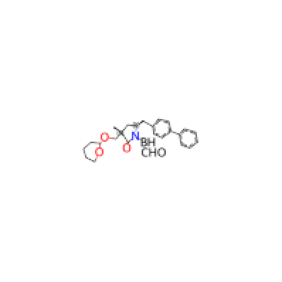 C[C@@]1(COC2CCCCO2)C[C@@H](Cc2ccc(-c3ccccc3)cc2)N(BC=O)C1=O